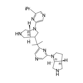 CC(C)c1cncc(N2CC(C(C)(C)c3cncc(N4CC[C@@H]5CNC[C@H]54)n3)[C@H]3CNC[C@@H]32)n1